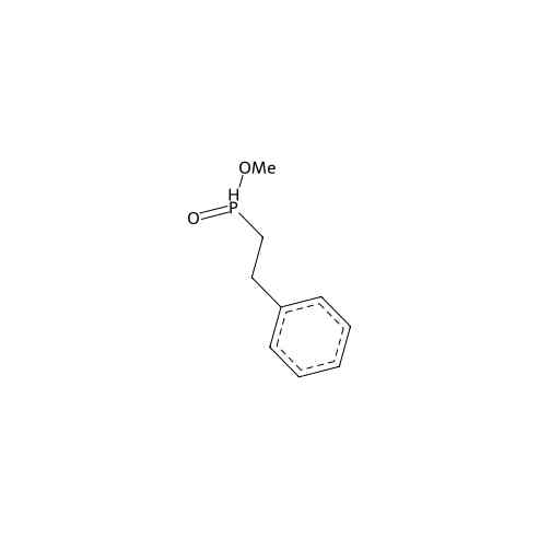 [CH2]O[PH](=O)CCc1ccccc1